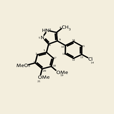 COc1cc(-c2n[nH]c(C)c2-c2ccc(Cl)cc2)cc(OC)c1OC